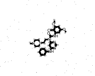 COc1cc(NC(=O)N(CCN2CCN(C)CC2)c2cc(Nc3ccccc3)ncn2)c(Cl)c(OC)c1